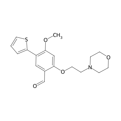 COc1cc(OCCN2CCOCC2)c(C=O)cc1-c1cccs1